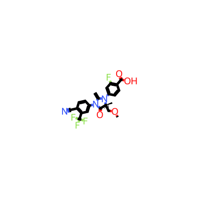 C=C1N(c2ccc(C#N)c(C(F)(F)F)c2)C(=O)[C@@](C)(COC)N1c1ccc(C(=O)O)c(F)c1